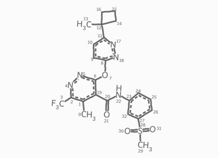 Cc1c(C(F)(F)F)nnc(Oc2ccc(C3(C)CCC3)nn2)c1C(=O)Nc1cccc(S(C)(=O)=O)c1